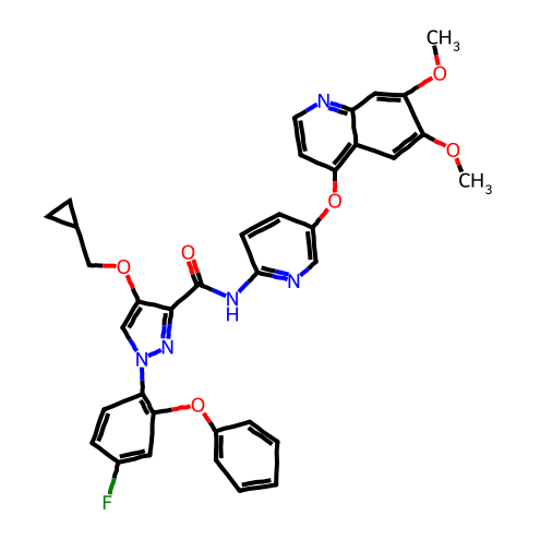 COc1cc2nccc(Oc3ccc(NC(=O)c4nn(-c5ccc(F)cc5Oc5ccccc5)cc4OCC4CC4)nc3)c2cc1OC